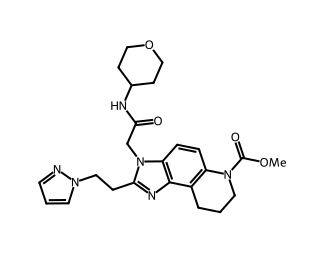 COC(=O)N1CCCc2c1ccc1c2nc(CCn2cccn2)n1CC(=O)NC1CCOCC1